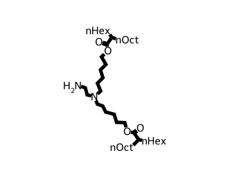 CCCCCCCCC(CCCCCC)C(=O)OCCCCCCN(CCN)CCCCCCOC(=O)C(CCCCCC)CCCCCCCC